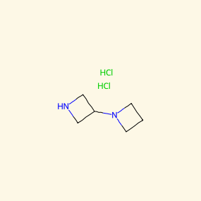 C1CN(C2CNC2)C1.Cl.Cl